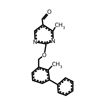 Cc1nc(OCc2cccc(-c3ccccc3)c2C)ncc1C=O